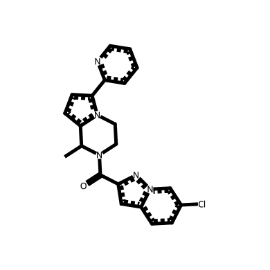 CC1c2ccc(-c3ccccn3)n2CCN1C(=O)c1cc2ccc(Cl)cn2n1